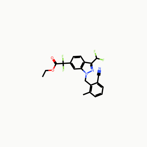 CCOC(=O)C(F)(F)c1ccc2c(C(F)F)nn(Cc3c(C)cccc3C#N)c2c1